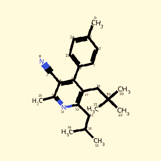 Cc1ccc(-c2c(C#N)c(C)nc(CC(C)C)c2CC(C)(C)C)cc1